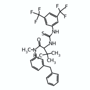 CN(C(=O)C(NC(=S)Nc1cc(C(F)(F)F)cc(C(F)(F)F)c1)C(C)(C)C)c1cccc(Cc2ccccc2)c1